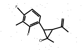 C=C(C)C1C(c2ccc(F)c(C)c2F)C1(C)Cl